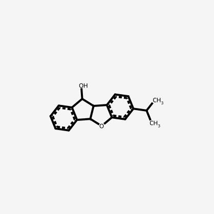 CC(C)c1ccc2c(c1)O[C]1[C]2C(O)c2ccccc21